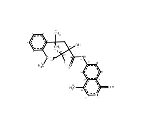 COc1ccccc1C(C)(C)CC(O)(C(=O)Nc1ccc2c(=O)onc(C)c2c1)C(F)(F)F